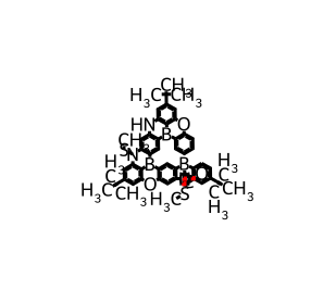 CSN1c2cc3c(cc2B2c4cc5c(cc4Oc4cc(C(C)(C)C)cc1c42)N(SC)c1cc(C(C)(C)C)cc2c1B5c1ccccc1O2)B1c2ccccc2Oc2cc(C(C)(C)C)cc(c21)N3